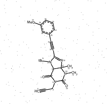 C#CCN1C(=O)C2N(C(C)(C)C)C(C#Cc3cccc(OC)c3)=NC2(C)N(C)C1=O